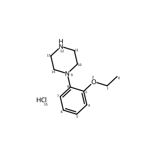 CCOc1ccccc1N1CCNCC1.Cl